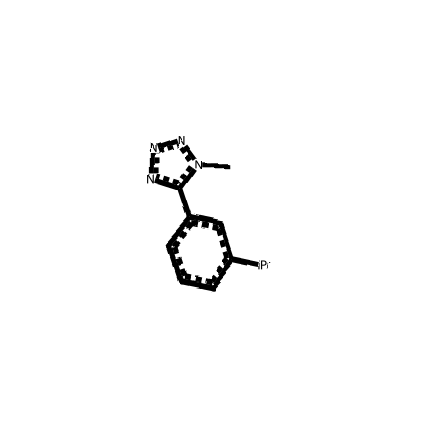 CC(C)c1cccc(-c2nnnn2C)c1